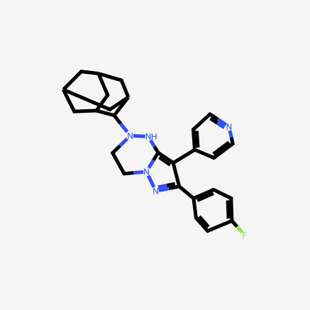 Fc1ccc(-c2nn3c(c2-c2ccncc2)NN(C2C4CC5CC(C4)CC2C5)CC3)cc1